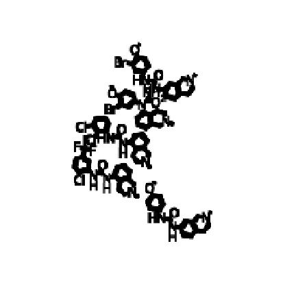 CN1CCc2c(cccc2NC(=O)Nc2cc(C(F)(F)F)ccc2Cl)C1.CN1CCc2c(cccc2NC(=O)Nc2cccc(Cl)c2Cl)C1.COc1ccc(N(C(N)=O)c2cccc3c2CCN(C)C3)cc1Br.COc1ccc(NC(=O)Nc2ccc3c(c2)CN(C)CC3)cc1.COc1ccc(NC(=O)Nc2ccc3c(c2)CN(C)CC3)cc1Br